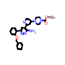 CC(C)(C)OC(=O)N1CCN(c2ccnc(-c3cc(-c4ccccc4OCc4ccccc4)nnc3N)c2)CC1